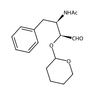 CC(=O)N[C@H](Cc1ccccc1)[C@@H](C=O)OC1CCCCO1